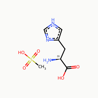 CS(=O)(=O)O.N[C@@H](Cc1c[nH]cn1)C(=O)O